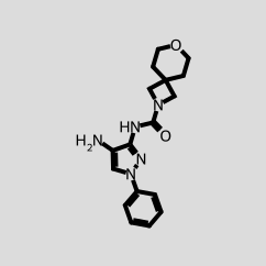 Nc1cn(-c2ccccc2)nc1NC(=O)N1CC2(CCOCC2)C1